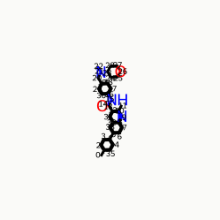 Cc1ccc(-c2ccc3nc(C)c(C(=O)Nc4ccc(CN(C)C5CCOCC5)cc4)cc3c2)cc1